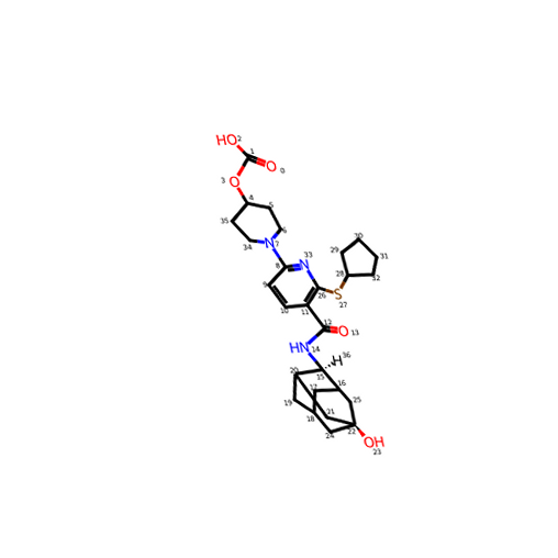 O=C(O)OC1CCN(c2ccc(C(=O)N[C@H]3C4CC5CC3C[C@@](O)(C5)C4)c(SC3CCCC3)n2)CC1